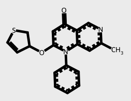 Cc1cc2c(cn1)c(=O)cc(OC1C=CSC1)n2-c1ccccc1